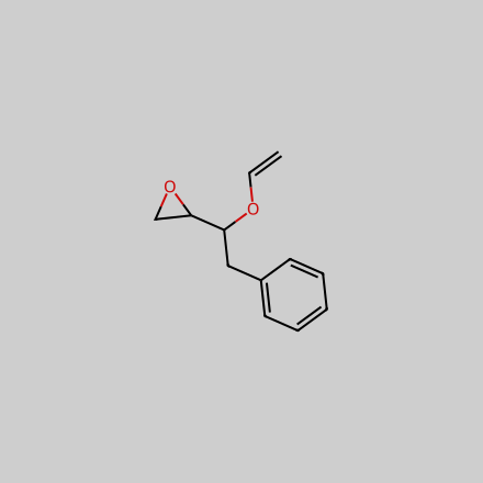 C=COC(Cc1ccccc1)C1CO1